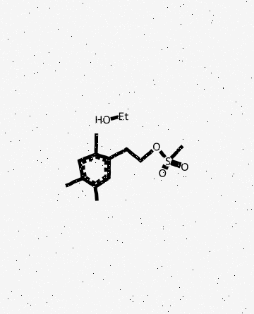 CCO.Cc1cc(C)c(CCOS(C)(=O)=O)cc1C